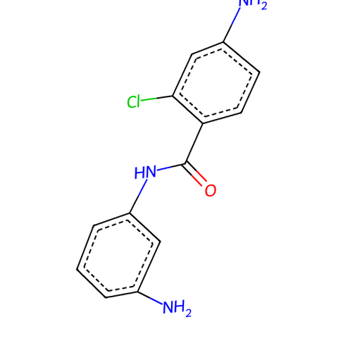 Nc1cccc(NC(=O)c2ccc(N)cc2Cl)c1